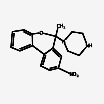 CC1(N2CCNCC2)Oc2ccccc2-c2ccc([N+](=O)[O-])cc21